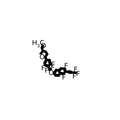 COCC1CCC(c2cc(F)c(C(F)(F)Oc3ccc4c(F)c(C#CC(F)(F)F)c(F)cc4c3)c(F)c2)OC1